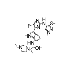 CCN1CCN([C@H](C)C(O)Nc2cccc3c(-c4nc(Nc5cn(C)nc5OC)ncc4F)c[nH]c23)CC1